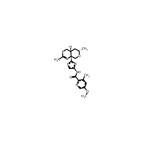 COc1cnc(C(=O)Nc2csc([C@]34CO[C@@H](C)C[C@H]3CSC(N)=N4)n2)c(C)c1